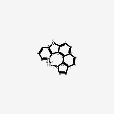 c1cc2oc3ccc4ccc5ccn6[nH][n+](c1)c2c3c4c56